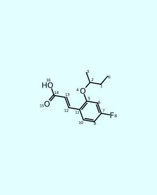 CCC(C)Oc1cc(F)ccc1/C=C/C(=O)O